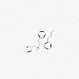 CCCCc1cccc(SC(C)(CCc2ccc(F)cc2)Cn2ccnc2)c1